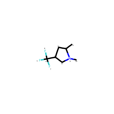 CC1CC(C(F)(F)F)CN1C